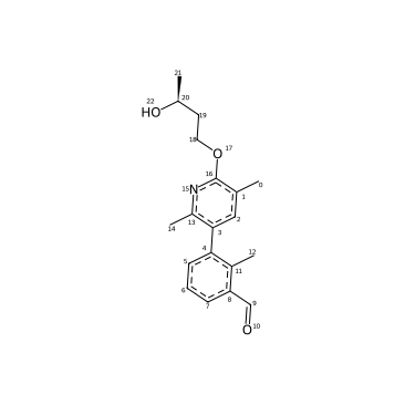 Cc1cc(-c2cccc(C=O)c2C)c(C)nc1OCC[C@H](C)O